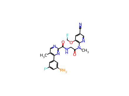 Cc1cnc(C(=O)NCC(=O)N(C)c2ncc(C#N)cc2OCF)nc1-c1cc(F)cc(P)c1